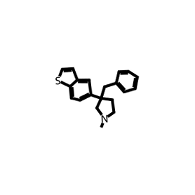 CN1CCC(Cc2ccccc2)(c2ccc3sccc3c2)C1